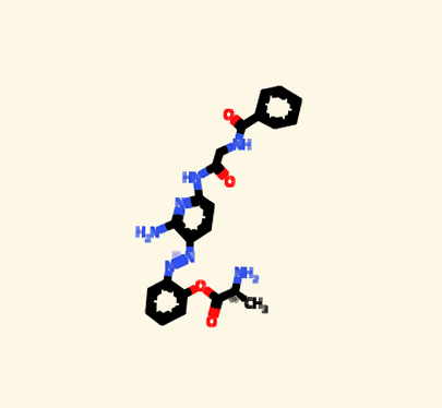 C[C@H](N)C(=O)Oc1ccccc1/N=N/c1ccc(NC(=O)CNC(=O)c2ccccc2)nc1N